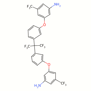 Nc1cc(Oc2cccc(C(c3cccc(Oc4cc(N)cc(C(F)(F)F)c4)c3)(C(F)(F)F)C(F)(F)F)c2)cc(C(F)(F)F)c1